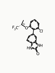 C[C@H](Oc1cccc(Cl)c1-c1ccc2[nH]c(=O)[nH]c2c1)C(F)(F)F